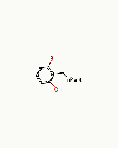 CCCCCCc1c(O)cccc1Br